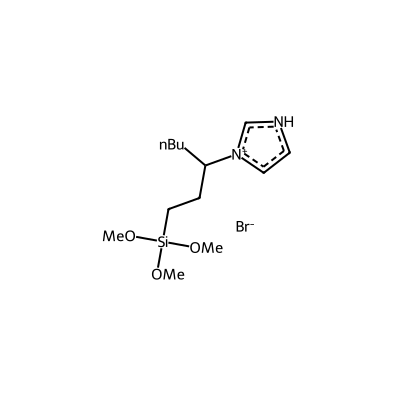 CCCCC(CC[Si](OC)(OC)OC)[n+]1cc[nH]c1.[Br-]